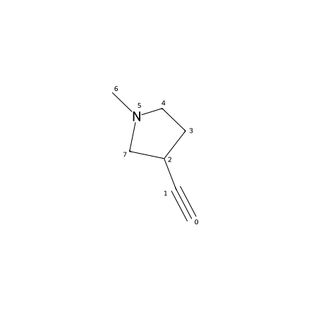 C#CC1CCN(C)C1